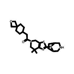 CC1(C)CN(C(=O)CC2CCC3(CC2)COC3)Cc2sc(N3C4CCC3CNC4)nc21